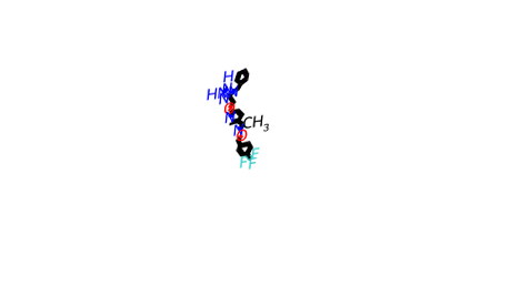 C/C(=N\OCc1ccc(C(F)(F)F)cc1)c1ccc(OCC2=NNNN2Cc2ccccc2)nc1